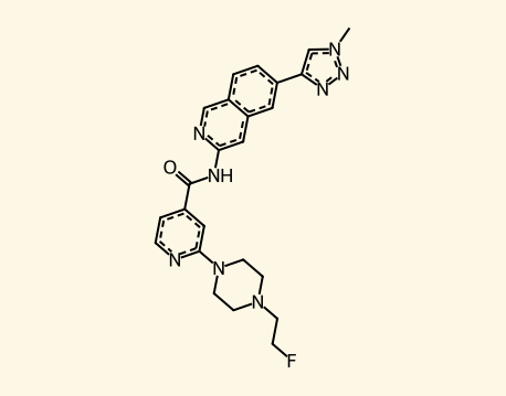 Cn1cc(-c2ccc3cnc(NC(=O)c4ccnc(N5CCN(CCF)CC5)c4)cc3c2)nn1